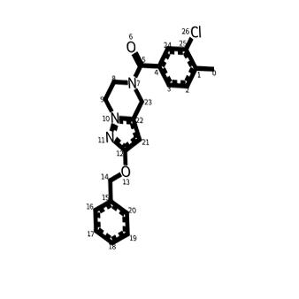 Cc1ccc(C(=O)N2CCn3nc(OCc4ccccc4)cc3C2)cc1Cl